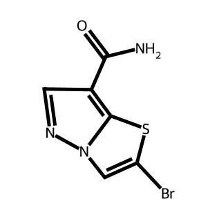 NC(=O)c1cnn2cc(Br)sc12